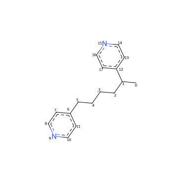 CC(C[CH]CCc1ccncc1)c1ccncc1